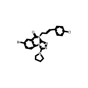 O=c1c2cc(Br)ccc2n2c(N3CCCC3)nnc2n1C/C=C/c1ccc(Cl)cc1